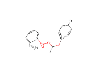 CCc1ccc(OC(C)OOc2ccccc2C(=O)O)cc1